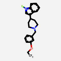 Fn1cc(C2CCN(Cc3cccc(OCC(F)(F)F)c3)CC2)c2ccccc21